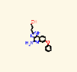 Nc1nc2cc(Oc3ccccc3)ccc2c2[nH]c(CCCO)nc12